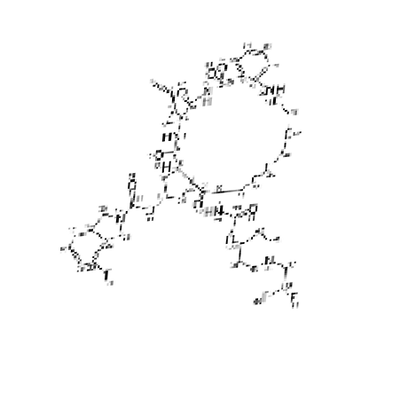 C=C[C@@H]1C[C@@]12NC(=O)[C@@H]1C[C@@H](OC(=O)N3Cc4cccc(F)c4C3)CN1C(=O)[C@@H](NC(=O)OC1CCN(CC(F)F)CC1)CCCCCCCNc1ccccc1S(=O)(=O)NC2=O